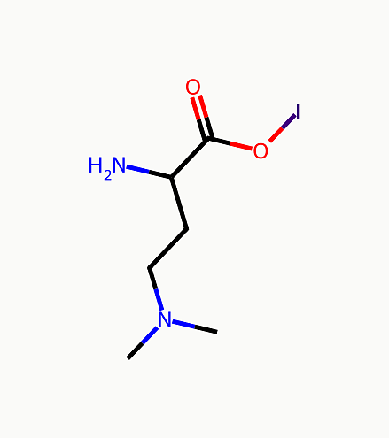 CN(C)CCC(N)C(=O)OI